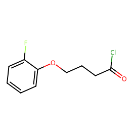 O=C(Cl)CCCOc1ccccc1F